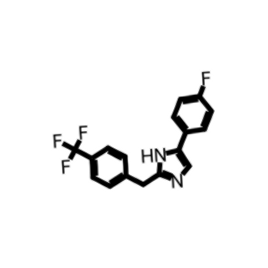 Fc1ccc(-c2cnc(Cc3ccc(C(F)(F)F)cc3)[nH]2)cc1